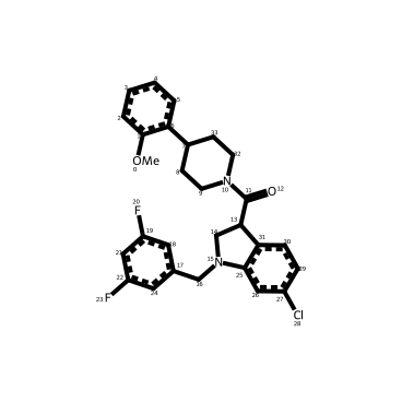 COc1ccccc1C1CCN(C(=O)C2CN(Cc3cc(F)cc(F)c3)c3cc(Cl)ccc32)CC1